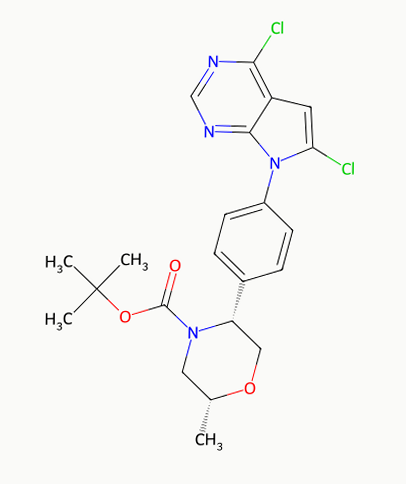 C[C@@H]1CN(C(=O)OC(C)(C)C)[C@H](c2ccc(-n3c(Cl)cc4c(Cl)ncnc43)cc2)CO1